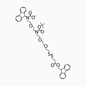 COC(=O)N(CCOCCN(CCOCCOCCSSCCC(=O)OCC1c2ccccc2-c2ccccc21)C(=O)OC(C)(C)C)C1c2ccccc2-c2ccccc21